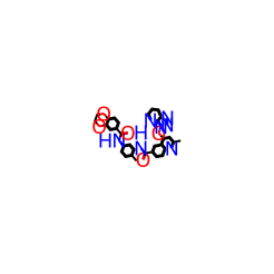 Cc1cc(On2nnc3cccnc32)c2cc(C(=O)Nc3cc(NC(=O)c4ccc5c(c4)OCCO5)ccc3C)ccc2n1